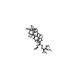 C=C(CC[C@@H](OC=O)C1CC[C@@]2(C)C3=CC[C@H]4C(C)(C)[C@@H](O)CC[C@]4(C)C3=CC[C@]12C)C(C)C